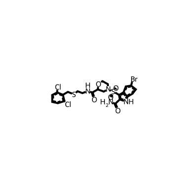 NC(=O)c1[nH]c2ccc(Br)cc2c1S(=O)(=O)N1CCOC(C(=O)NCCSCc2c(Cl)cccc2Cl)C1